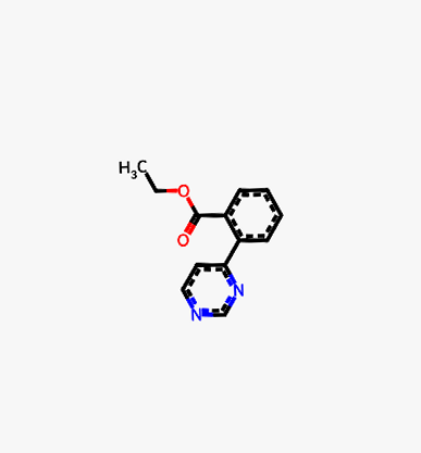 CCOC(=O)c1ccccc1-c1ccncn1